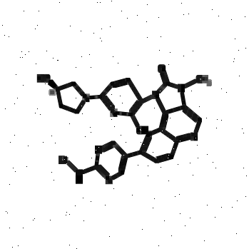 CCNc1ncc(-c2ccc3ncc4c(c3c2)n(-c2ccc(N3CC[C@@H](O)C3)nc2C)c(=O)n4C)cn1